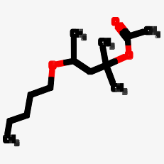 CCCCCOC(C)CC(C)(C)OC(C)=O